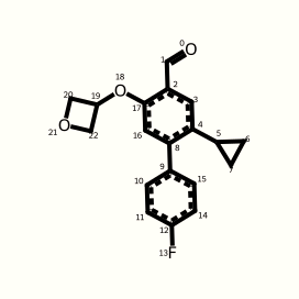 O=Cc1cc(C2CC2)c(-c2ccc(F)cc2)cc1OC1COC1